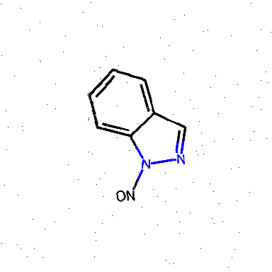 O=Nn1ncc2ccccc21